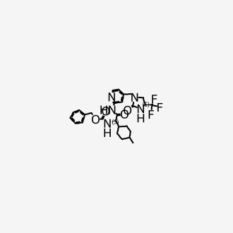 CC1CCC([C@H](NC(=O)OCc2ccccc2)C(=O)Nc2cc(CN3C[C@@H](C(F)(F)F)NC3=O)ccn2)CC1